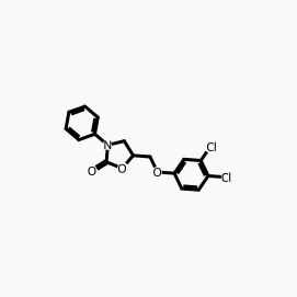 O=C1OC(COc2ccc(Cl)c(Cl)c2)CN1c1ccccc1